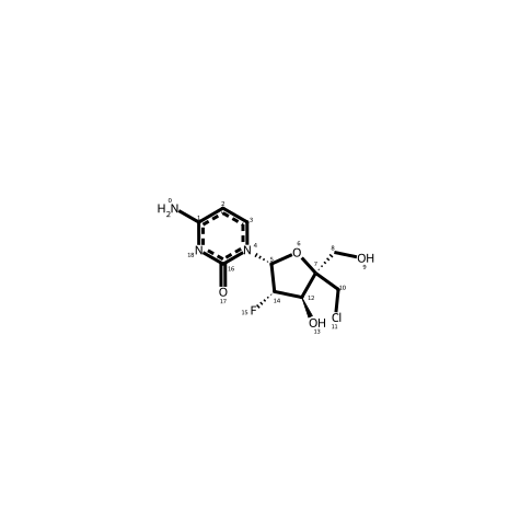 Nc1ccn([C@@H]2O[C@@](CO)(CCl)[C@@H](O)[C@@H]2F)c(=O)n1